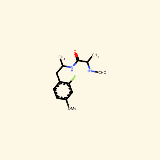 COc1ccc(CC(C)NC(=O)C(C)NC=O)c(F)c1